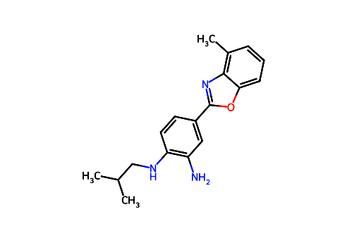 Cc1cccc2oc(-c3ccc(NCC(C)C)c(N)c3)nc12